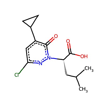 CC(C)C[C@@H](C(=O)O)n1nc(Cl)cc(C2CC2)c1=O